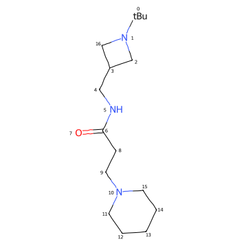 CC(C)(C)N1CC(CNC(=O)CCN2CCCCC2)C1